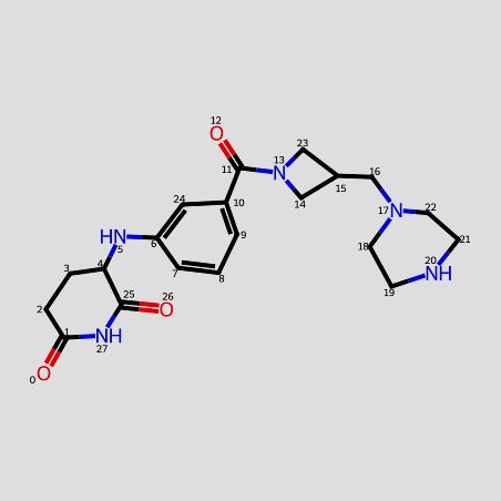 O=C1CCC(Nc2cccc(C(=O)N3CC(CN4CCNCC4)C3)c2)C(=O)N1